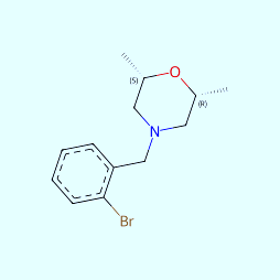 C[C@@H]1CN(Cc2ccccc2Br)C[C@H](C)O1